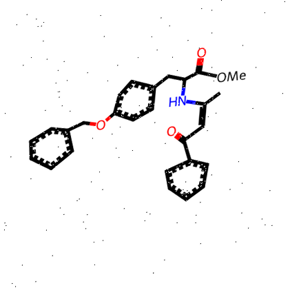 COC(=O)C(Cc1ccc(OCc2ccccc2)cc1)N/C(C)=C\C(=O)c1ccccc1